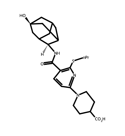 CCCSc1nc(N2CCC(C(=O)O)CC2)ccc1C(=O)N[C@H]1C2CC3CC1C[C@@](O)(C3)C2